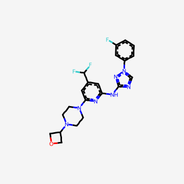 Fc1cccc(-n2cnc(Nc3cc(C(F)F)cc(N4CCN(C5COC5)CC4)n3)n2)c1